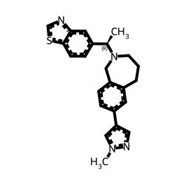 C[C@H](c1ccc2scnc2c1)N1CCCc2cc(-c3cnn(C)c3)ccc2C1